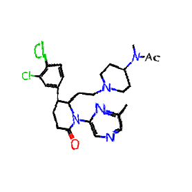 CC(=O)N(C)C1CCN(CCC2[C@H](c3ccc(Cl)c(Cl)c3)CCC(=O)N2c2cncc(C)n2)CC1